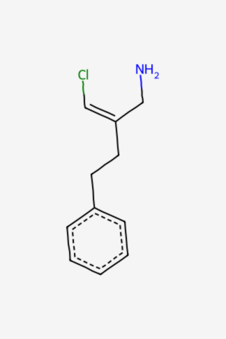 NCC(=CCl)CCc1ccccc1